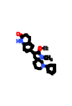 CCOC1C(c2ccc3c(c2)CCC(=O)N3)CC2(CCCN(c3ccccc3)C2)N1C